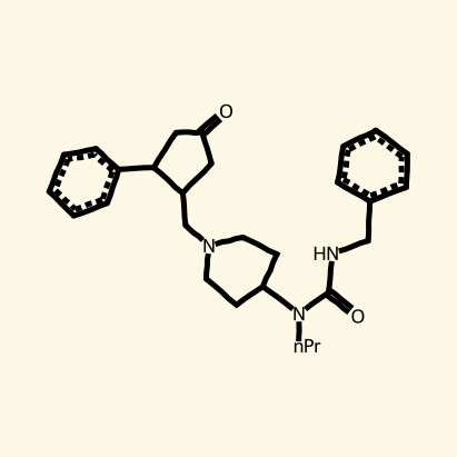 CCCN(C(=O)NCc1ccccc1)C1CCN(CC2CC(=O)CC2c2ccccc2)CC1